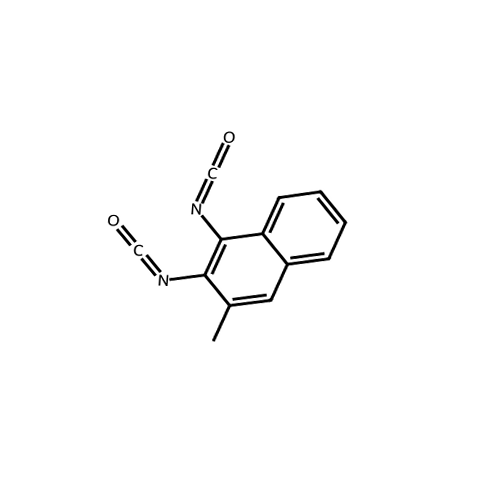 Cc1cc2ccccc2c(N=C=O)c1N=C=O